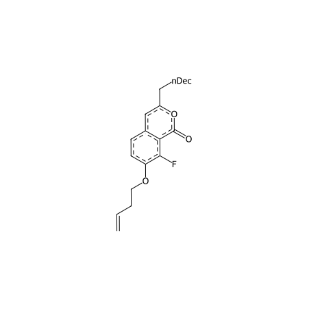 C=CCCOc1ccc2cc(CCCCCCCCCCC)oc(=O)c2c1F